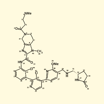 CNCCC(=O)N1CCc2c(nc(C(=O)Nc3cccc(-c4nccc(-c5ccc(CNC[C@@H]6CCC(=O)N6)c(OC)n5)c4Cl)c3Cl)n2C)C1